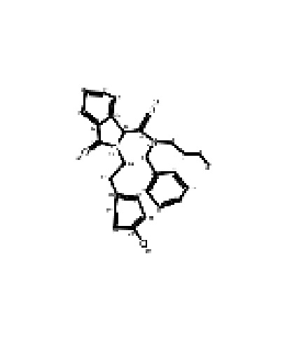 CCCCN(Cc1ccccc1)C(=O)C1c2ccccc2C(=O)N1CCc1ccc(Cl)cc1